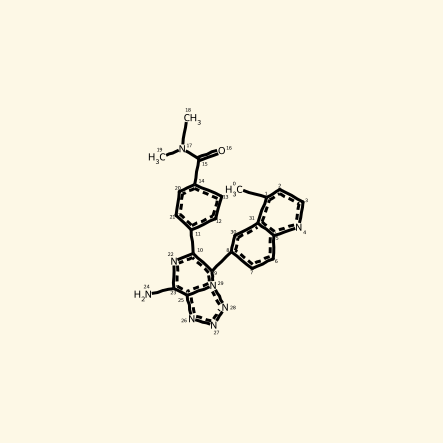 Cc1ccnc2ccc(-c3c(-c4ccc(C(=O)N(C)C)cc4)nc(N)c4nnnn34)cc12